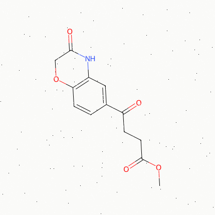 COC(=O)CCC(=O)c1ccc2c(c1)NC(=O)CO2